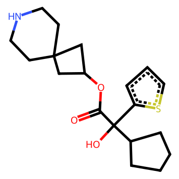 O=C(OC1CC2(CCNCC2)C1)C(O)(c1cccs1)C1CCCC1